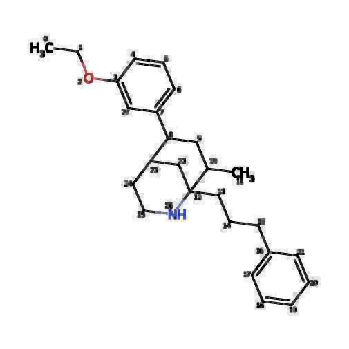 CCOc1cccc(C2CC(C)C3(CCCc4ccccc4)CC2CCN3)c1